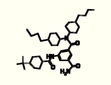 CCCCC1CCC(N(C(=O)c2cc(NC(=O)C3CCC(C(C)(C)C)CC3)cc(C(N)=O)c2)C2CCC(CCCC)CC2)CC1